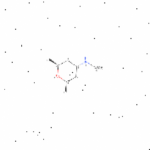 CNN[C@@H]1C[C@@H](C)O[C@@H](C)C1